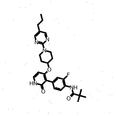 CCCc1cnc(N2CCC(Oc3cc[nH]c(=O)c3-c3ccc(NC(=O)C(C)(C)C)c(F)c3)CC2)nc1